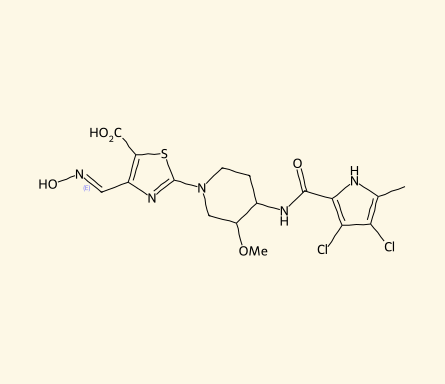 COC1CN(c2nc(/C=N/O)c(C(=O)O)s2)CCC1NC(=O)c1[nH]c(C)c(Cl)c1Cl